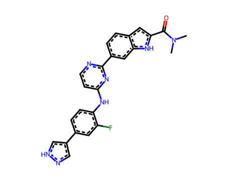 CN(C)C(=O)c1cc2ccc(-c3nccc(Nc4ccc(-c5cn[nH]c5)cc4F)n3)cc2[nH]1